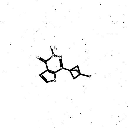 Cn1nc(C23CC(F)(C2)C3)c2sccc2c1=O